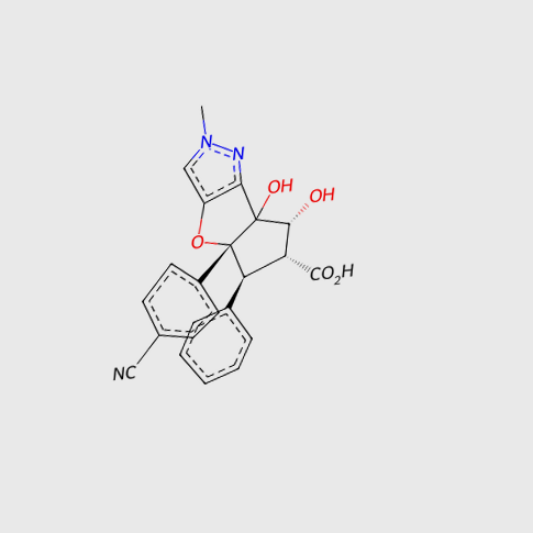 Cn1cc2c(n1)C1(O)[C@H](O)[C@H](C(=O)O)[C@@H](c3ccccc3)[C@]1(c1ccc(C#N)cc1)O2